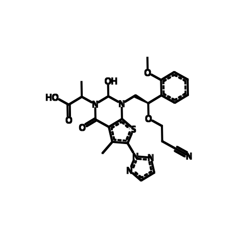 COc1ccccc1[C@H](CN1c2sc(-n3nccn3)c(C)c2C(=O)N(C(C)C(=O)O)C1O)OCCC#N